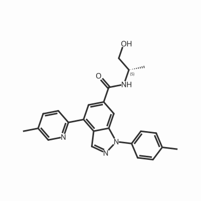 Cc1ccc(-n2ncc3c(-c4ccc(C)cn4)cc(C(=O)N[C@@H](C)CO)cc32)cc1